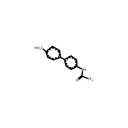 O=C(O)c1ccc(-c2ccc(NC(=O)C(F)(F)F)cc2)cc1